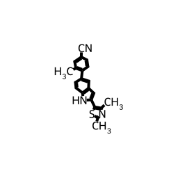 Cc1nc(C)c(-c2cc3cc(-c4ccc(C#N)cc4C)ccc3[nH]2)s1